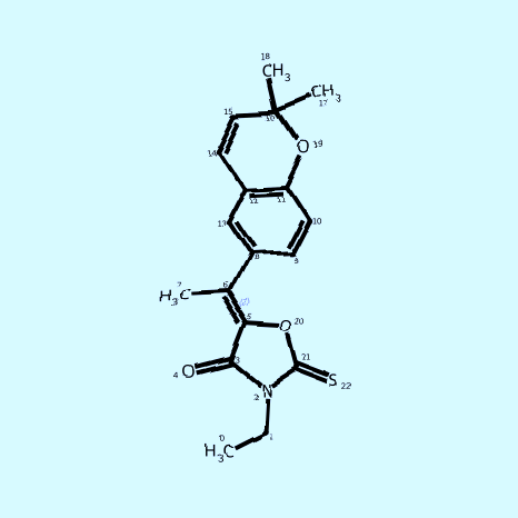 CCN1C(=O)/C(=C(\C)c2ccc3c(c2)C=CC(C)(C)O3)OC1=S